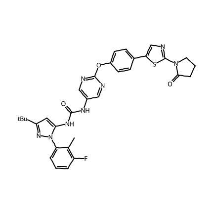 Cc1c(F)cccc1-n1nc(C(C)(C)C)cc1NC(=O)Nc1cnc(Oc2ccc(-c3cnc(N4CCCC4=O)s3)cc2)nc1